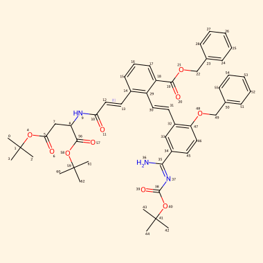 CC(C)(C)OC(=O)CC(NC(=O)/C=C/c1cccc(C(=O)OCc2ccccc2)c1C=Cc1cc(C(N)=NC(=O)OC(C)(C)C)ccc1OCc1ccccc1)C(=O)OC(C)(C)C